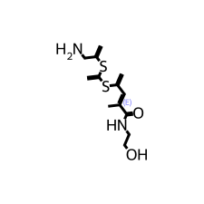 C=C(/C=C(\C)C(=O)NCCO)SC(=C)SC(=C)CN